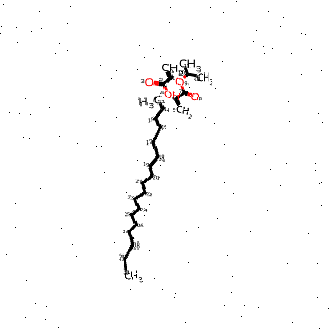 C=CC(=O)O.C=CC(=O)OC(C)C.CCCCCCCCCCCCCCCCCC